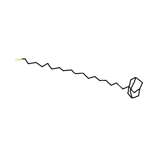 SCCCCCCCCCCCCCCCCCCC12CC3CC(CC(C3)C1)C2